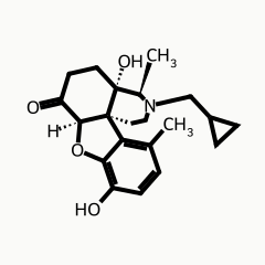 Cc1ccc(O)c2c1[C@]13CCN(CC4CC4)[C@H](C)[C@]1(O)CCC(=O)[C@@H]3O2